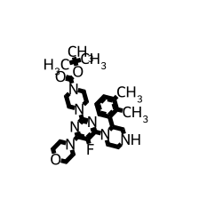 Cc1cccc(C2CNCCN2c2nc(N3CCN(C(=O)OC(C)(C)C)CC3)nc(N3CCOCC3)c2F)c1C